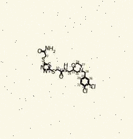 NC(=O)CSc1nnc(SCC(=O)NCC2CN(Cc3ccc(Cl)c(Cl)c3)CCO2)s1